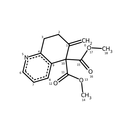 C=C1CCc2ncccc2C1(C(=O)OC)C(=O)OC